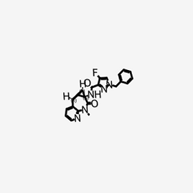 CN1C(=O)[C@]2(NC(=O)c3nn(Cc4ccccc4)cc3F)C3[C@@H](c4cccnc41)[C@H]32